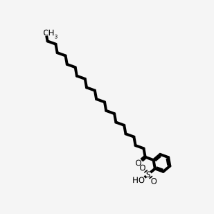 CCCCCCCCCCCCCCCCCCCCCC(=O)c1ccccc1S(=O)(=O)O